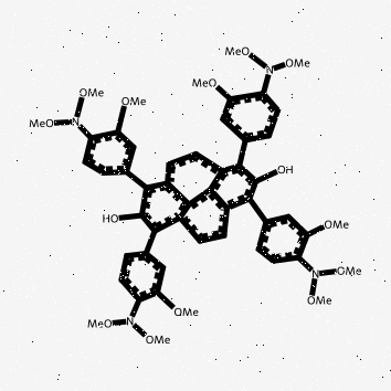 COc1cc(-c2c(O)c(-c3ccc(N(OC)OC)c(OC)c3)c3ccc4c(-c5ccc(N(OC)OC)c(OC)c5)c(O)c(-c5ccc(N(OC)OC)c(OC)c5)c5ccc2c3c54)ccc1N(OC)OC